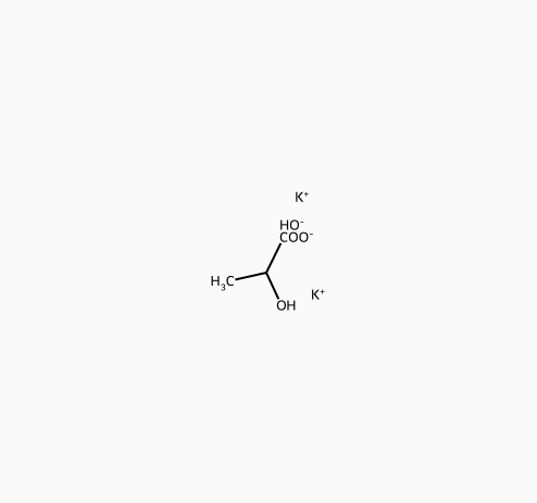 CC(O)C(=O)[O-].[K+].[K+].[OH-]